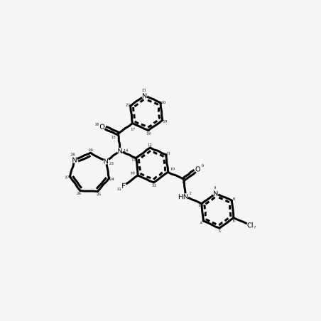 O=C(Nc1ccc(Cl)cn1)c1ccc(N(C(=O)c2cccnc2)N2C=CC=CN=C2)c(F)c1